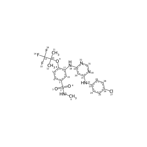 CNS(=O)(=O)c1ccc(OC(C)(C)C(F)(F)F)c(Nc2cc(Nc3ccc(Cl)cc3)ncn2)c1